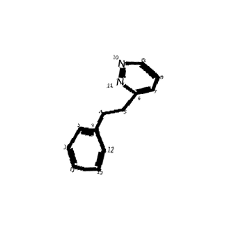 c1ccc(CCc2cccnn2)cc1